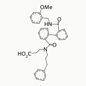 COc1ccccc1CNC(=O)c1ccccc1-c1ccccc1C(=O)N(CCCc1ccccc1)CCC(=O)O